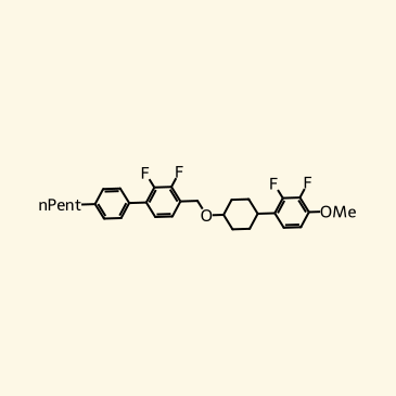 CCCCCc1ccc(-c2ccc(COC3CCC(c4ccc(OC)c(F)c4F)CC3)c(F)c2F)cc1